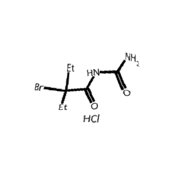 CCC(Br)(CC)C(=O)NC(N)=O.Cl